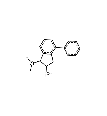 CC(C)C1Cc2c(-c3ccccc3)cccc2[CH]1[Zr]([CH3])[CH3]